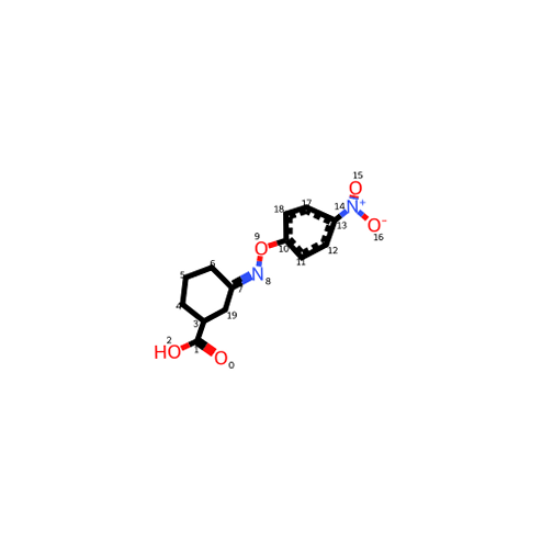 O=C(O)C1CCC/C(=N\Oc2ccc([N+](=O)[O-])cc2)C1